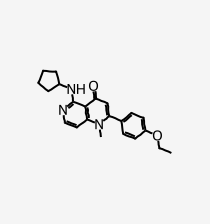 CCOc1ccc(-c2cc(=O)c3c(NC4CCCC4)nccc3n2C)cc1